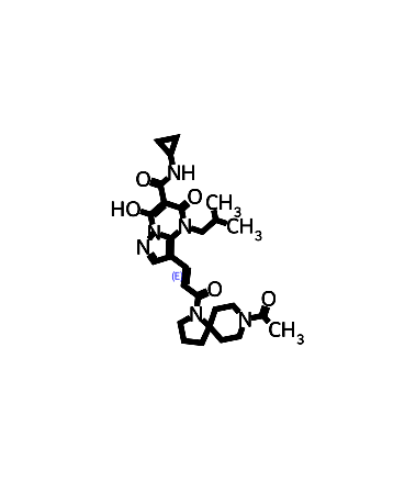 CC(=O)N1CCC2(CCCN2C(=O)/C=C/c2cnn3c(O)c(C(=O)NC4CC4)c(=O)n(CC(C)C)c23)CC1